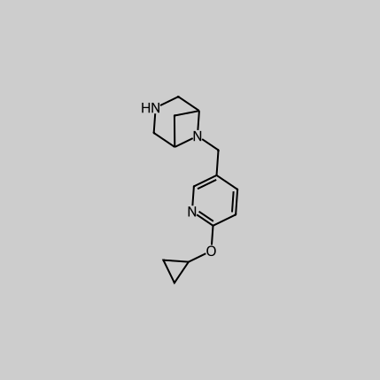 c1cc(OC2CC2)ncc1CN1C2CNCC1C2